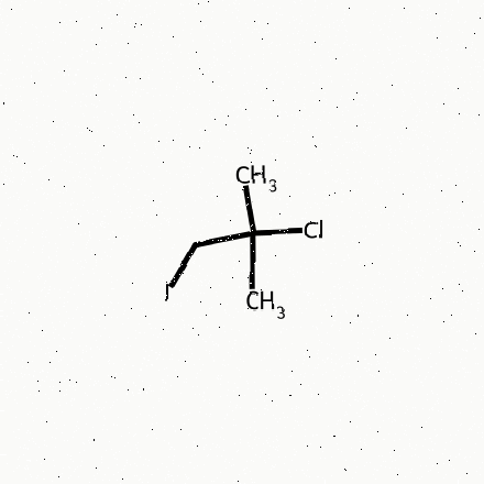 CC(C)(Cl)CI